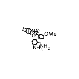 COC1=C2CC(=C1)C=C2S(N)(=O)=O.N.NCc1ccccc1.c1ccc2c(c1)CC2